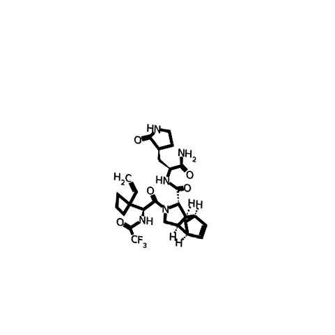 C=CC1([C@H](NC(=O)C(F)(F)F)C(=O)N2C[C@H]3[C@@H]([C@H]2C(=O)N[C@@H](C[C@@H]2CCNC2=O)C(N)=O)[C@H]2C=C[C@@H]3C2)CCC1